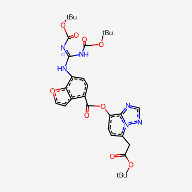 CC(C)(C)OC(=O)Cc1ccc(OC(=O)c2ccc(N/C(=N/C(=O)OC(C)(C)C)NC(=O)OC(C)(C)C)c3occc23)c2ncnn12